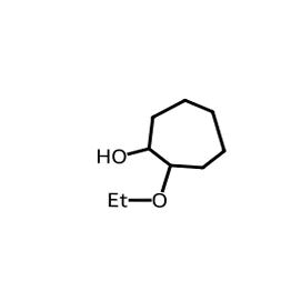 CCOC1CCCCCC1O